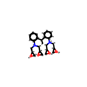 CC(c1ccccc1N(CC1CO1)CC1CO1)c1ccccc1N(CC1CO1)CC1CO1